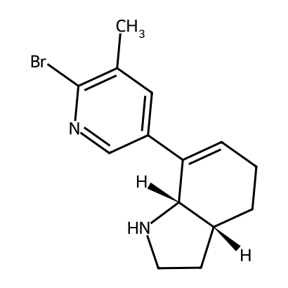 Cc1cc(C2=CCC[C@@H]3CCN[C@H]23)cnc1Br